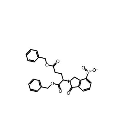 O=C(CCC(C(=O)OCc1ccccc1)N1Cc2c(cccc2[N+](=O)[O-])C1=O)OCc1ccccc1